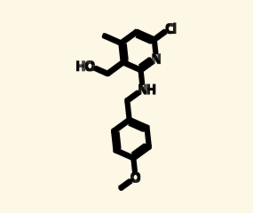 COc1ccc(CNc2nc(Cl)cc(C)c2CO)cc1